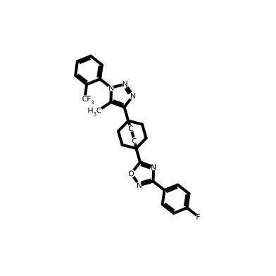 Cc1c(C23CCC(c4nc(-c5ccc(F)cc5)no4)(CC2)CC3)nnn1-c1ccccc1C(F)(F)F